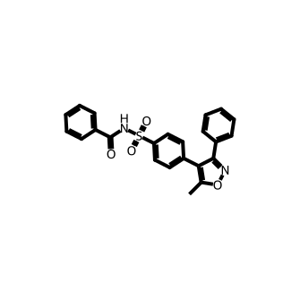 Cc1onc(-c2ccccc2)c1-c1ccc(S(=O)(=O)NC(=O)c2ccccc2)cc1